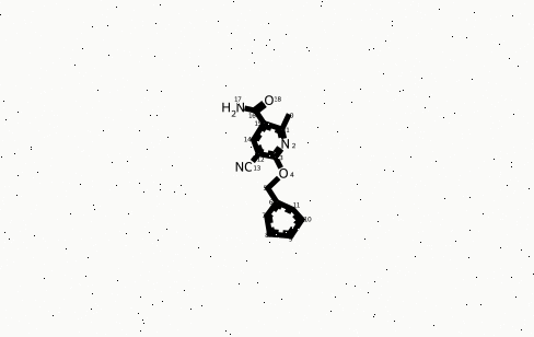 Cc1nc(OCc2ccccc2)c(C#N)cc1C(N)=O